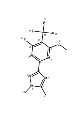 COc1nc(-c2nc(C)n(C)n2)nc(F)c1C(F)(F)F